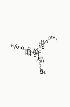 COCCOCCNC(=O)NCCn1c(=O)n(CCNC(=O)NCCOCCOC)c(=O)n(CCNC(=O)NCCOCCOC)c1=O